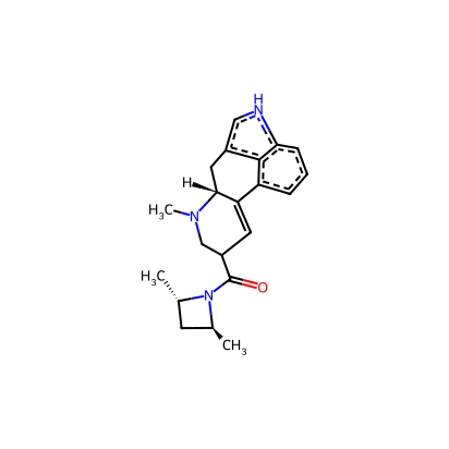 C[C@H]1C[C@H](C)N1C(=O)C1C=C2c3cccc4[nH]cc(c34)C[C@H]2N(C)C1